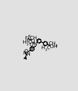 CC(C)(O)c1ccc(-c2cccc(N(CC34CCC(c5nc(C6CC6)no5)(CC3)CC4)C(=O)OC(C)(C)C(F)(F)F)c2)cc1